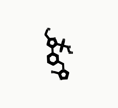 CC(C)Cc1cc(-c2cccc(Cn3ccnc3Br)c2)c(S(=O)(=O)NC(C)(C)C)s1